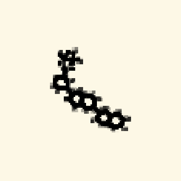 CC1(C)OB(c2cccc(-c3ccc4cc(-c5ccc6ccccc6c5)ccc4c3)c2)OC1(C)C